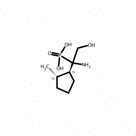 C[C@H]1CCC[C@@H]1C(N)(CO)P(=O)(O)O